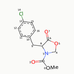 COC(=O)N1COC(=O)C1Cc1ccc(Cl)cc1